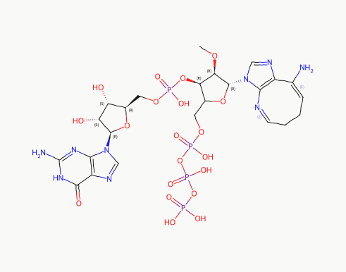 CO[C@@H]1[C@H](OP(=O)(O)OC[C@H]2O[C@@H](n3cnc4c(=O)[nH]c(N)nc43)[C@H](O)[C@@H]2O)C(COP(=O)(O)OP(=O)(O)OP(=O)(O)O)O[C@H]1n1cnc2c1/N=C\CC/C=C\2N